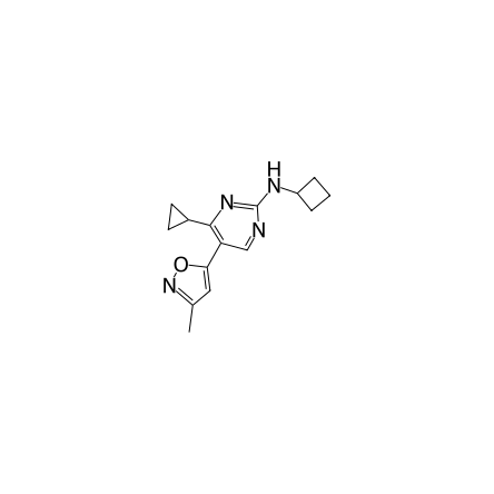 Cc1cc(-c2cnc(NC3CCC3)nc2C2CC2)on1